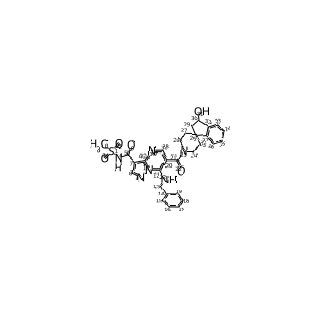 CS(=O)(=O)NC(=O)c1cnn2c(NCc3ccccc3)c(C(=O)N3CCC4(CC3)CC(O)c3ccccc34)cnc12